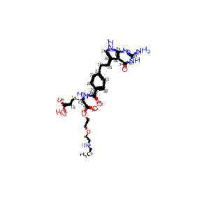 CCNCCOCCOC(=O)[C@H](CCC(=O)O)NC(=O)c1ccc(CCc2c[nH]c3nc(N)[nH]c(=O)c23)cc1